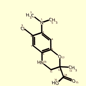 CN(C)c1cc2c(cc1Cl)NCC(C)(C(=O)O)O2